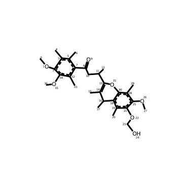 COc1c(C)c(C)c(C(=O)CC(C)C2=C(C)C(C)c3c(C)c(OCO)c(OC)c(C)c3O2)c(C)c1OC